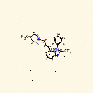 O=C(C=Cc1cccc2nc(C(F)(F)F)n(-c3ccccc3)c12)N1CCC(C(F)(F)F)CC1